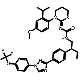 CCC(CNC(=O)/N=C1\SCCCN1c1ccc(OC)cc1C(C)C)c1ccc(-c2ncn(-c3ccc(OC(F)(F)F)cc3)n2)cc1